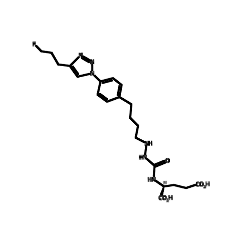 O=C(O)CC[C@H](NC(=O)NNCCCCc1ccc(-n2cc(CCCF)nn2)cc1)C(=O)O